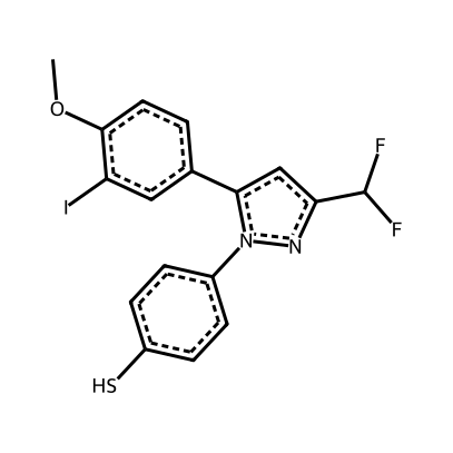 COc1ccc(-c2cc(C(F)F)nn2-c2ccc(S)cc2)cc1I